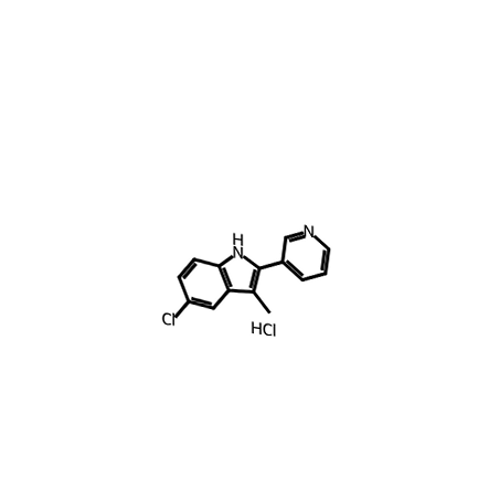 Cc1c(-c2cccnc2)[nH]c2ccc(Cl)cc12.Cl